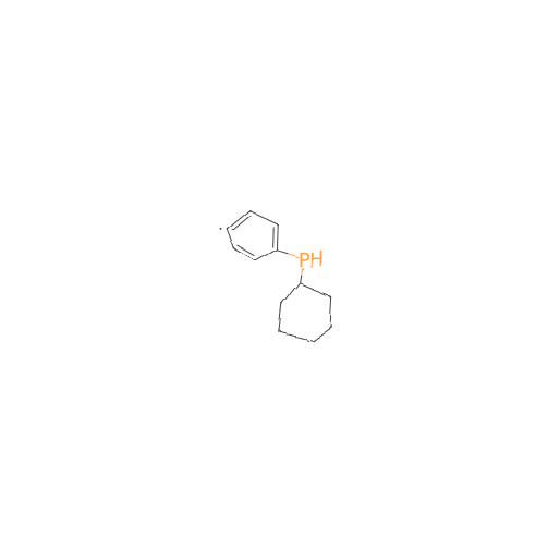 [c]1ccc(PC2CCCCC2)cc1